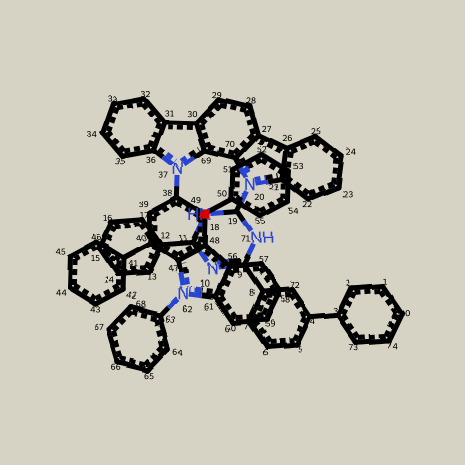 c1ccc(-c2cccc(C3=NC(c4ccccc4)NC(n4c5ccccc5c5ccc6c7ccccc7n(-c7cc(-c8ccccc8)c8c(c7-c7ccccc7)c7ccccc7n8-c7ccccc7)c6c54)N3)c2)cc1